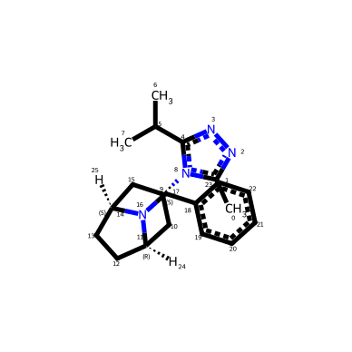 Cc1nnc(C(C)C)n1[C@@H]1C[C@H]2CC[C@@H](C1)N2Cc1ccccc1